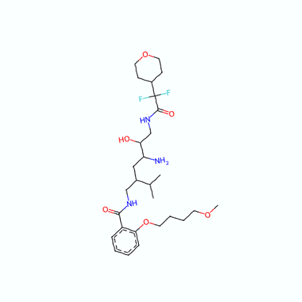 COCCCCOc1ccccc1C(=O)NCC(CC(N)C(O)CNC(=O)C(F)(F)C1CCOCC1)C(C)C